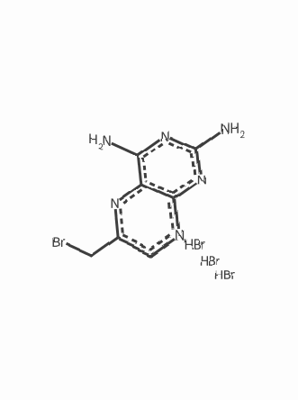 Br.Br.Br.Nc1nc(N)c2nc(CBr)cnc2n1